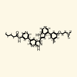 CCCCC(=O)Nc1cncc(-c2cnc3[nH]nc(-c4cc5c(-c6cc(F)cc(OCCN(C)C)c6)cncc5[nH]4)c3c2)c1